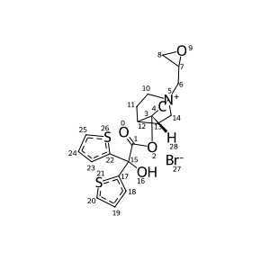 O=C(O[C@H]1C[N+]2(CC3CO3)CCC1CC2)C(O)(c1cccs1)c1cccs1.[Br-]